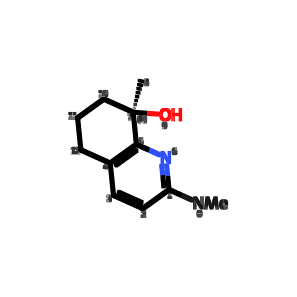 CNc1ccc2c(n1)[C@](C)(O)CCC2